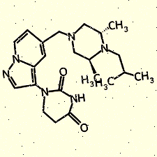 CC(C)CN1[C@@H](C)CN(Cc2ccn3ncc(N4CCC(=O)NC4=O)c3c2)C[C@@H]1C